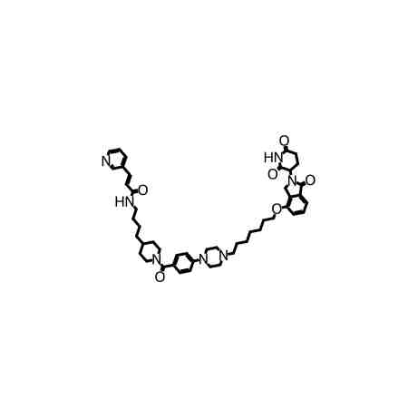 O=C(/C=C/c1cccnc1)NCCCCC1CCN(C(=O)c2ccc(N3CCN(CCCCCCCOc4cccc5c4CN(C4CCC(=O)NC4=O)C5=O)CC3)cc2)CC1